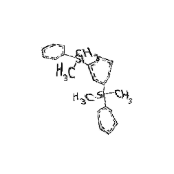 C[Si](C)(c1ccccc1)c1cccc([Si](C)(C)c2ccccc2)c1